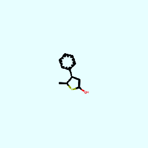 CC1SC(O)CC1c1ccccc1